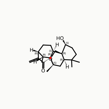 C=C1C(=O)[C@]23[C@H](C)[C@H]1CC[C@H]2[C@@]12CO[C@@]3(C)C[C@@H]1C(C)(C)CC[C@@H]2O